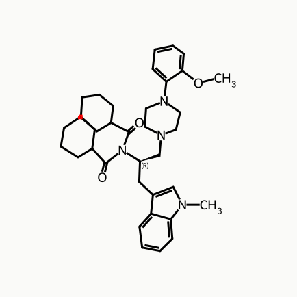 COc1ccccc1N1CCN(C[C@@H](Cc2cn(C)c3ccccc23)N(C(=O)C2CCCCC2)C(=O)C2CCCCC2)CC1